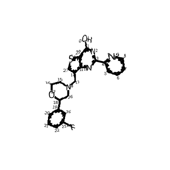 Oc1nc(-c2ccccn2)nc2c(CN3CCOC(c4cccc(F)c4)C3)csc12